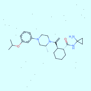 C=C([C@@H]1CCCC[C@H]1C(=O)NC1(N)CC1)N1CCN(c2cccc(OC(C)C)c2)C[C@H]1C